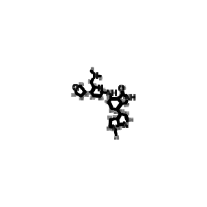 CN(C)Cc1nc(Nc2ccc(-c3ccnc4c3ccn4C)c3c2C(=O)NC3)ccc1[C@@H]1CCOC1